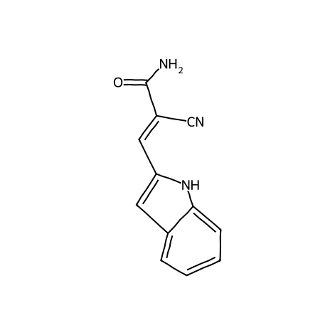 N#C/C(=C\c1cc2ccccc2[nH]1)C(N)=O